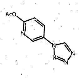 CC(=O)Oc1ccc(-n2cnnn2)cn1